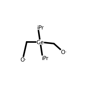 C[CH](C)[Ge]([CH2][O])([CH2][O])[CH](C)C